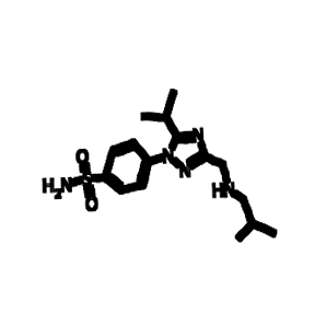 CC(C)CNCc1nc(C(C)C)n(-c2ccc(S(N)(=O)=O)cc2)n1